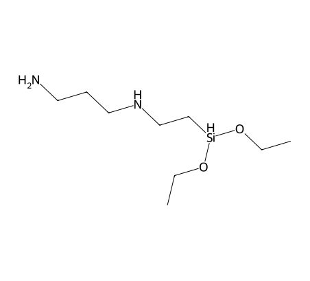 CCO[SiH](CCNCCCN)OCC